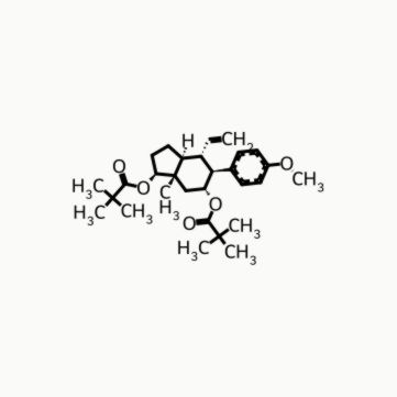 C=C[C@@H]1[C@@H](c2ccc(OC)cc2)[C@H](OC(=O)C(C)(C)C)C[C@]2(C)[C@@H](OC(=O)C(C)(C)C)CC[C@@H]12